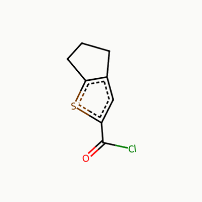 O=C(Cl)c1cc2c(s1)CCC2